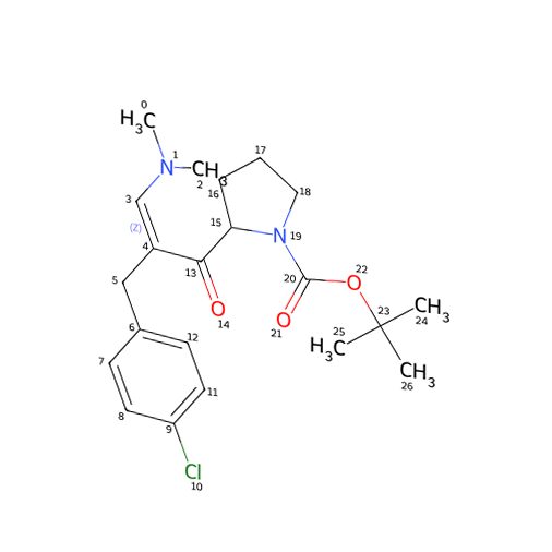 CN(C)/C=C(/Cc1ccc(Cl)cc1)C(=O)C1CCCN1C(=O)OC(C)(C)C